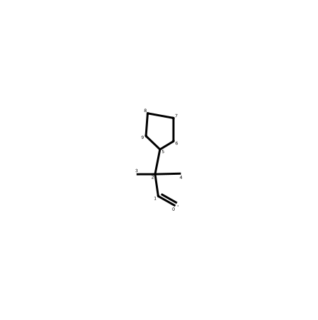 [CH]=CC(C)(C)C1CCCC1